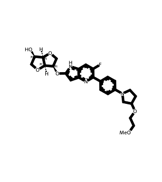 COCCOC1CCN(c2ccc(-c3nc4cc(O[C@@H]5CO[C@H]6[C@@H]5OC[C@H]6O)[nH]c4cc3F)cc2)C1